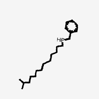 CC(C)CCCCCCCCCCCPCc1ccccc1